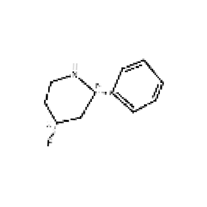 F[C@@H]1CCN[C@H](c2ccccc2)C1